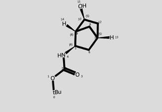 CC(C)(C)OC(=O)N[C@@H]1C[C@@H]2C[C@H]1[C@@H](O)C2